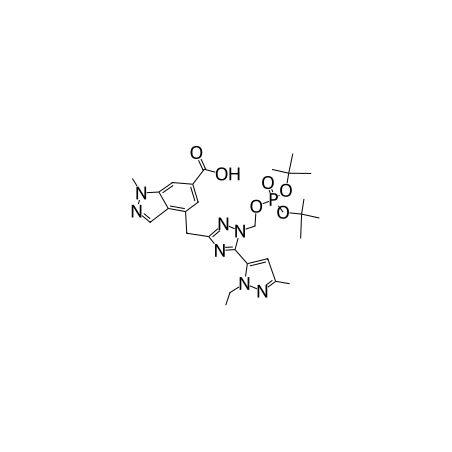 CCn1nc(C)cc1-c1nc(Cc2cc(C(=O)O)cc3c2cnn3C)nn1COP(=O)(OC(C)(C)C)OC(C)(C)C